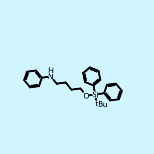 CC(C)(C)[Si](OCCCCNc1ccccc1)(c1ccccc1)c1ccccc1